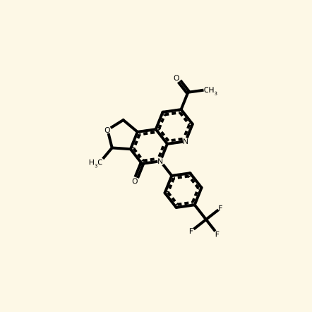 CC(=O)c1cnc2c(c1)c1c(c(=O)n2-c2ccc(C(F)(F)F)cc2)C(C)OC1